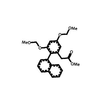 COCOc1cc(CC(=O)OC)c(-c2cccc3ccccc23)c(OCOC)c1